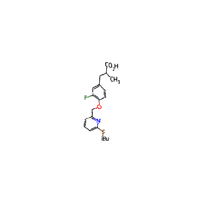 CCC(C)Sc1cccc(COc2ccc(CC(C)C(=O)O)cc2F)n1